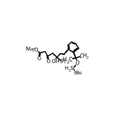 COC(=O)CC(=O)CC(O)(CCc1ccccc1C(C)(C)O[SiH2]C(C)(C)C)C(C)C